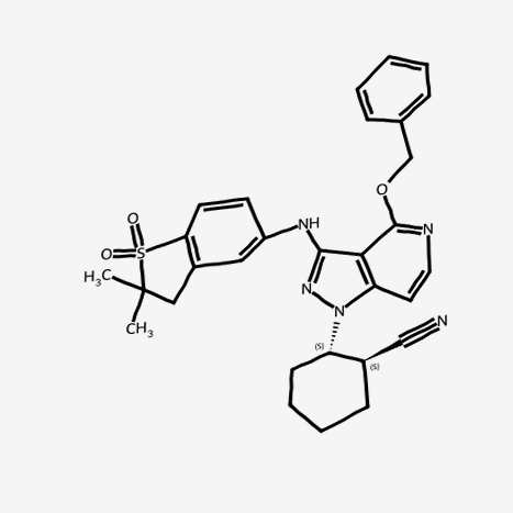 CC1(C)Cc2cc(Nc3nn([C@H]4CCCC[C@@H]4C#N)c4ccnc(OCc5ccccc5)c34)ccc2S1(=O)=O